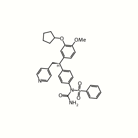 COc1ccc([C@H](Cc2ccncc2)c2ccc(N(C(N)=O)S(=O)(=O)c3ccccc3)cc2)cc1OC1CCCC1